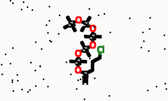 C[SiH](CCCCl)O[Si](C)(C)O[Si](C)(C)O[Si](C)(C)O[Si](C)(C)O[Si](C)(C)C